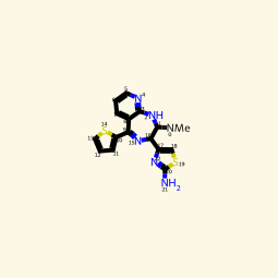 CNC1Nc2ncccc2C(c2cccs2)=NC1c1csc(N)n1